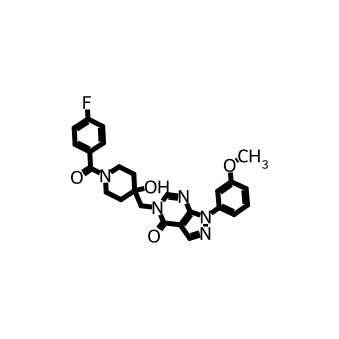 COc1cccc(-n2ncc3c(=O)n(CC4(O)CCN(C(=O)c5ccc(F)cc5)CC4)cnc32)c1